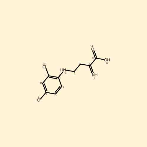 N=C(CCNc1ccc(Cl)cc1Cl)C(=O)O